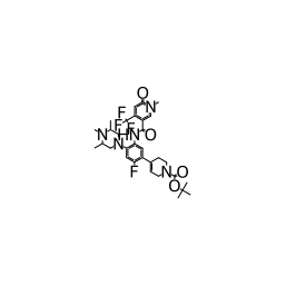 CC1CN(c2cc(F)c(C3=CCN(C(=O)OC(C)(C)C)CC3)cc2NC(=O)c2cn(C)c(=O)cc2C(F)(F)F)CC(C)N1C